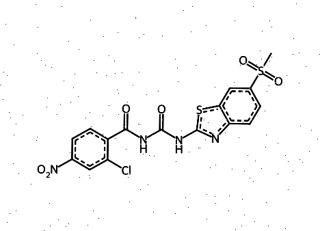 CS(=O)(=O)c1ccc2nc(NC(=O)NC(=O)c3ccc([N+](=O)[O-])cc3Cl)sc2c1